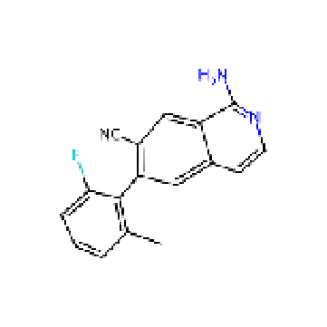 Cc1cccc(F)c1-c1cc2ccnc(N)c2cc1C#N